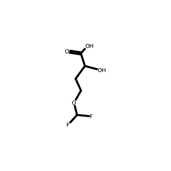 O=C(O)C(O)CCOC(F)F